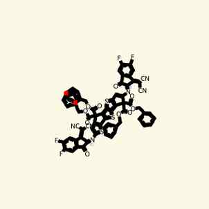 N#CC(C#N)=C1/C(=N/C2=Cc3sc4c5c(sc4c3C2(C(=O)OCc2ccccc2)C(=O)OCc2ccccc2)-c2sc(/N=C3/C(=O)c4cc(F)c(F)cc4C3=C(C#N)C#N)cc2C5(C(=O)OCc2ccccc2)C(=O)OCc2ccccc2)C(=O)c2cc(F)c(F)cc21